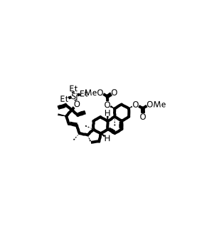 C=CC(C=C)(O[Si](CC)(CC)CC)[C@H](C)/C=C/[C@@H](C)[C@H]1CC[C@H]2C3=CC=C4C[C@@H](OC(=O)OC)C[C@H](OC(=O)OC)[C@]4(C)[C@H]3CC[C@]12C